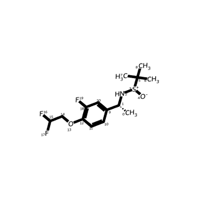 C[C@@H](N[S+]([O-])C(C)(C)C)c1ccc(OCC(F)F)c(F)c1